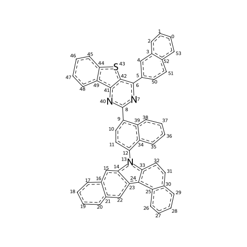 c1ccc2cc(-c3nc(-c4ccc(-n5c6cc7ccccc7cc6c6c7ccccc7ccc65)c5ccccc45)nc4c3sc3ccccc34)ccc2c1